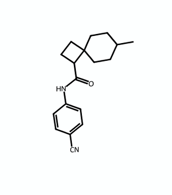 CC1CCC2(CC1)CCC2C(=O)Nc1ccc(C#N)cc1